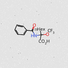 CCCCCCC(NC(=O)c1ccccc1)(OC(F)(F)F)C(=O)O